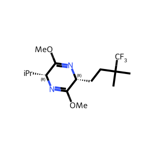 COC1=N[C@H](C(C)C)C(OC)=N[C@@H]1CCC(C)(C)C(F)(F)F